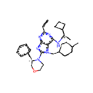 C=Cc1nc(N[C@H](C)C2CCC2)c2c(n1)nc(N1CCOC[C@H]1c1ccccc1)n2CC1CCC(C)CC1